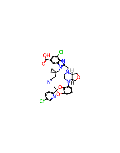 C[C@]1(c2ccc(Cl)cn2)Oc2cccc(N3CCN(Cc4nc5c(Cl)cc(C(=O)O)cc5n4CC4(CC#N)CC4)[C@@H]4COC[C@@H]43)c2O1